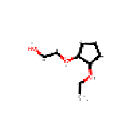 CCOC1CCCC1OCCO